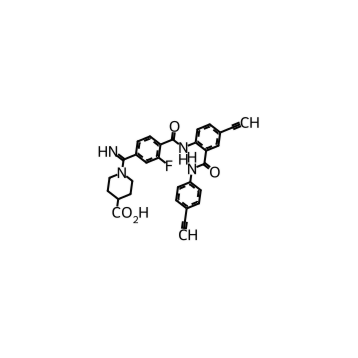 C#Cc1ccc(NC(=O)c2cc(C#C)ccc2NC(=O)c2ccc(C(=N)N3CCC(C(=O)O)CC3)cc2F)cc1